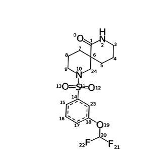 O=C1NCCCC12CCCN(S(=O)(=O)c1cccc(OC(F)F)c1)C2